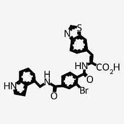 O=C(O)/C(=C/c1ccc2ncsc2c1)NC(=O)c1ccc(C(=O)NCc2cccc3[nH]ccc23)cc1Br